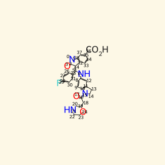 CN1C(=O)C(=C(Nc2ccc3c(c2)CCN3C(=O)CC2CNCCO2)c2ccc(F)cc2)c2ccc(C(=O)O)cc21